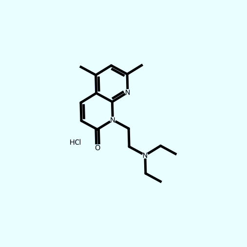 CCN(CC)CCn1c(=O)ccc2c(C)cc(C)nc21.Cl